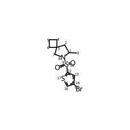 CC1CC2(CCC2)CN1S(=O)(=O)c1cc(Br)cs1